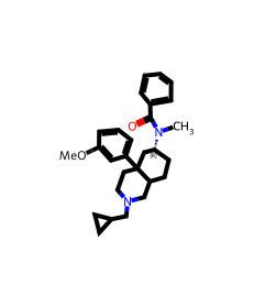 COc1cccc(C23CCN(CC4CC4)CC2CC[C@@H](N(C)C(=O)c2ccccc2)C3)c1